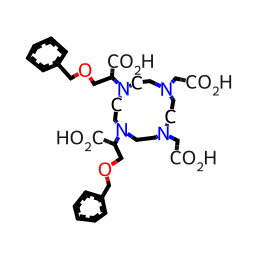 O=C(O)CN1CCN(CC(=O)O)CCN(C(COCc2ccccc2)C(=O)O)CCN(C(COCc2ccccc2)C(=O)O)CC1